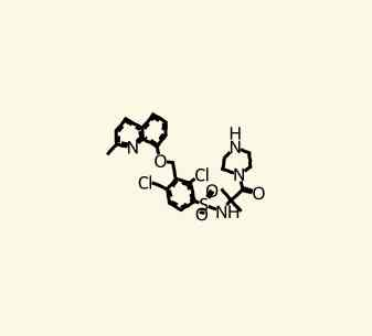 Cc1ccc2cccc(OCc3c(Cl)ccc(S(=O)(=O)NC(C)(C)C(=O)N4CCNCC4)c3Cl)c2n1